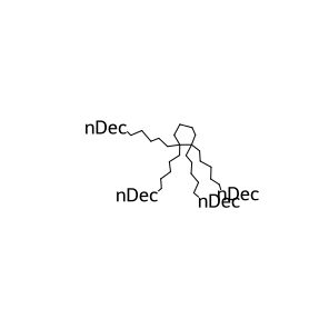 CCCCCCCCCCCCCCCC1(CCCCCCCCCCCCCCC)CCCCC1(CCCCCCCCCCCCCCC)CCCCCCCCCCCCCCC